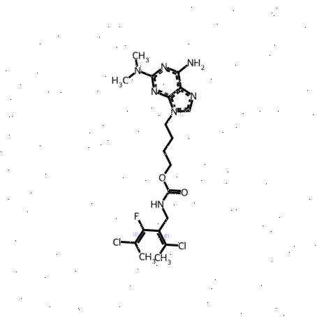 C/C(Cl)=C(F)\C(CNC(=O)OCCCCn1cnc2c(N)nc(N(C)C)nc21)=C(/C)Cl